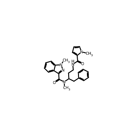 CN(C(=O)c1nn(C)c2ccccc12)C(CCNC(=O)c1cccn1C)Cc1ccccc1